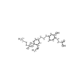 CCCCS(=O)(=O)Oc1ccc(CCCc2ccc(CCC(=O)O)c(O)c2)cc1OC